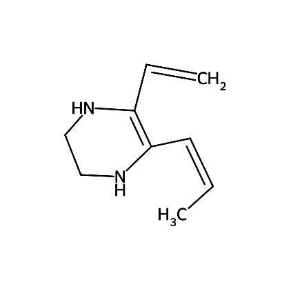 C=CC1=C(/C=C\C)NCCN1